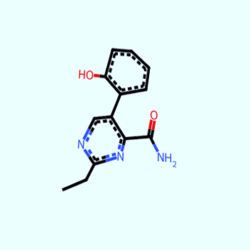 CCc1ncc(-c2ccccc2O)c(C(N)=O)n1